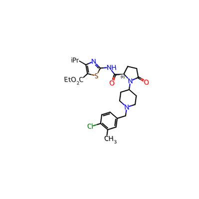 CCOC(=O)c1sc(NC(=O)[C@H]2CCC(=O)N2C2CCN(Cc3ccc(Cl)c(C)c3)CC2)nc1C(C)C